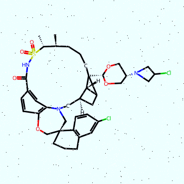 C[C@@H]1[C@@H](C)CCCC2([C@H]3OC[C@@H](N4CC(Cl)C4)CO3)C3C[C@@H](CN4C[C@@]5(CCCc6cc(Cl)ccc65)COc5ccc(cc54)C(=O)NS1(=O)=O)[C@@H]32